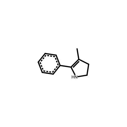 CC1=C(c2ccccc2)NCC1